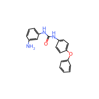 Nc1cccc(NC(=O)Nc2ccc(Oc3ccccc3)cc2)c1